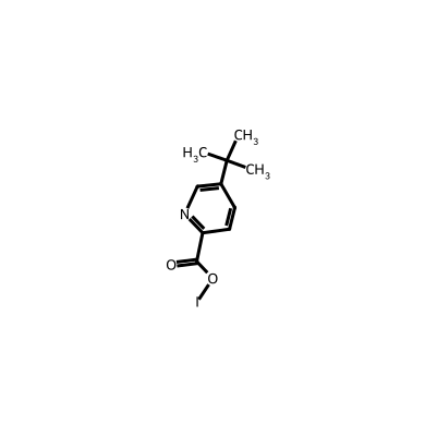 CC(C)(C)c1ccc(C(=O)OI)nc1